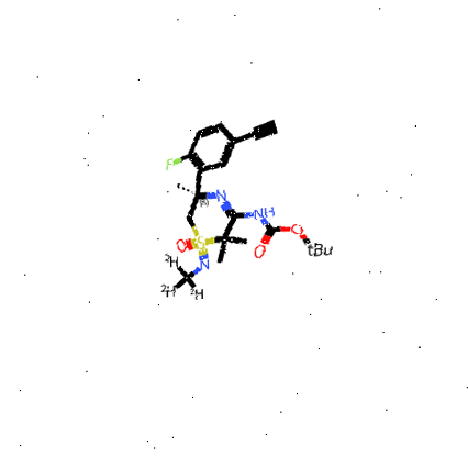 [2H]C([2H])([2H])N=S1(=O)C[C@@](C)(c2cc(C#C)ccc2F)N=C(NC(=O)OC(C)(C)C)C1(C)C